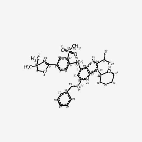 CC1(C)COC(c2ccc(Nc3cc(NCc4ccccc4)nc4c3nc(C(F)F)n4C3CCCCO3)c(S(C)(=O)=O)c2)=N1